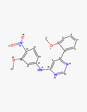 COc1ccccc1-c1cc(Nc2ccc([N+](=O)[O-])c(OC)c2)ncn1